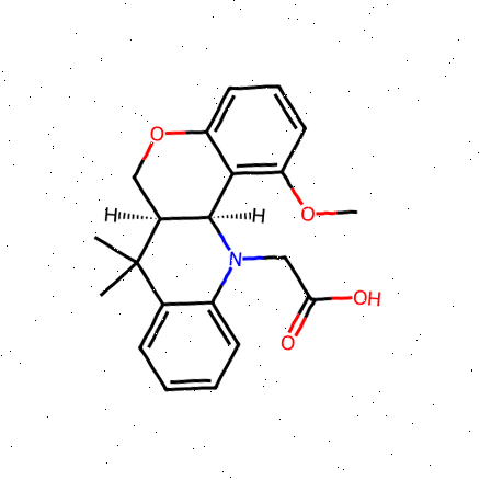 COc1cccc2c1[C@@H]1[C@H](CO2)C(C)(C)c2ccccc2N1CC(=O)O